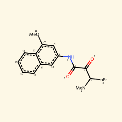 CCCC(NC)C(=O)C(=O)Nc1cc(OC)c2ccccc2c1